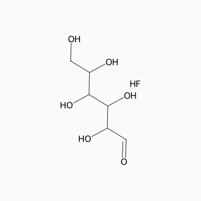 F.O=CC(O)C(O)C(O)C(O)CO